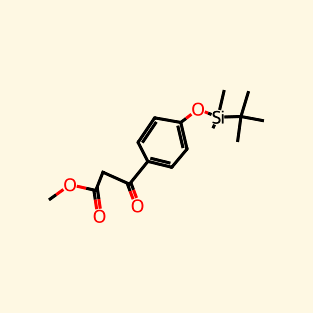 COC(=O)CC(=O)c1ccc(O[Si](C)(C)C(C)(C)C)cc1